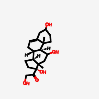 C[C@]12CCC(O)CC1=CC[C@@H]1[C@@H]2C(O)C[C@@]2(C)[C@H]1CC[C@]2(O)C(=O)CO